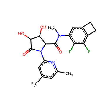 Cc1cc(C(F)(F)F)cc(N2C(=O)C(O)C(O)C2C(=O)N(C)c2cc3c(c(F)c2F)CC3)n1